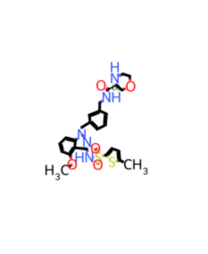 COc1cccc2c1c(NS(=O)(=O)c1ccc(C)s1)nn2Cc1cccc(CNC(=O)[C@@H]2COCCN2)c1